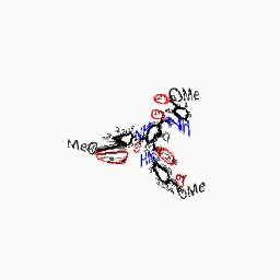 COC(=O)c1cccc(NC(=O)c2cc(C(=O)Nc3cccc(C(=O)OC)c3)cc(C(=O)Nc3cccc(C(=O)OC)c3)c2)c1